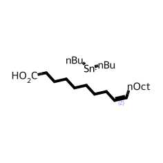 CCCCCCCC/C=C\CCCCCCCC(=O)O.CCC[CH2][Sn][CH2]CCC